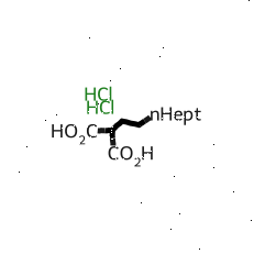 CCCCCCCCCC(C(=O)O)C(=O)O.Cl.Cl